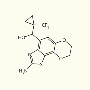 Nc1nc2c(C(O)C3(C(F)(F)F)CC3)cc3c(c2s1)OCCO3